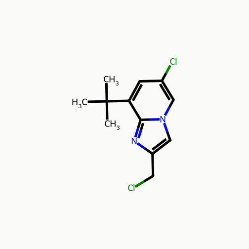 CC(C)(C)c1cc(Cl)cn2cc(CCl)nc12